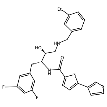 CCc1cccc(CNC[C@H](O)[C@@H](Cc2cc(F)cc(F)c2)NC(=O)c2ccc(-c3ccsc3)s2)c1